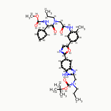 CCCN(Cc1nc2cc(-c3ncc(-c4ccc(C)c(NC(=O)CN(CCC)C(=O)[C@H](NC(=O)OC)c5ccccc5)c4)o3)ccc2[nH]1)C(=O)OC(C)(C)C